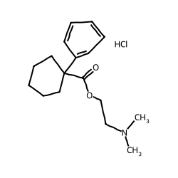 CN(C)CCOC(=O)C1(c2ccccc2)CCCCC1.Cl